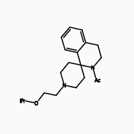 CC(=O)N1CCc2ccccc2C12CCN(CCOC(C)C)CC2